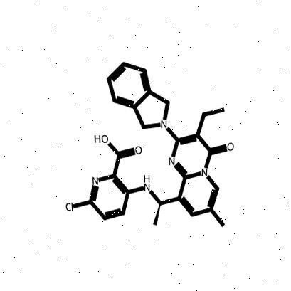 CCc1c(N2Cc3ccccc3C2)nc2c([C@@H](C)Nc3ccc(Cl)nc3C(=O)O)cc(C)cn2c1=O